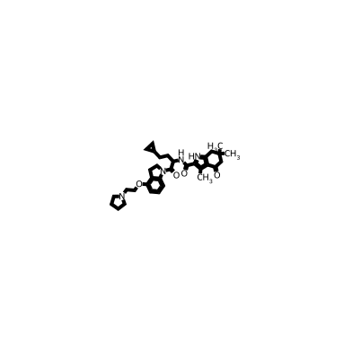 Cc1c(C(=O)NC(CCC2CC2)C(=O)N2CCc3c(OCCN4CCCC4)cccc32)[nH]c2c1C(=O)CC(C)(C)C2